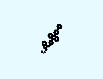 CCC1=Nc2ccccc2/C1=C\c1ccc(-c2c3ccccc3c(-c3ccc(-c4ccccc4)cc3)c3ccccc23)cc1